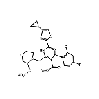 COC(=O)C1=C(CN2CCOC[C@@H]2OC(=O)O)NC(c2nc(C3CC3)cs2)=N[C@H]1c1ccc(F)cc1Cl